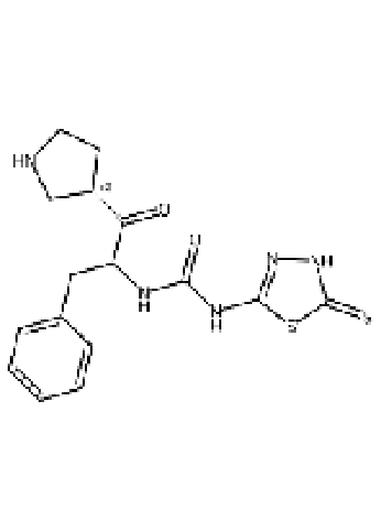 O=C(Nc1n[nH]c(=S)s1)NC(Cc1ccccc1)C(=O)[C@H]1CCNC1